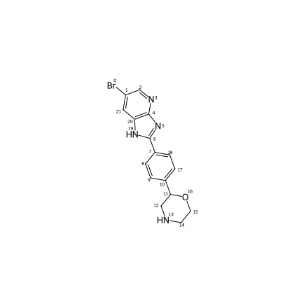 Brc1cnc2nc(-c3ccc(C4CNCCO4)cc3)[nH]c2c1